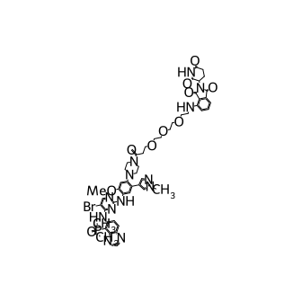 COc1cc(N2CCN(C(=O)CCOCCOCCOCCNc3cccc4c3C(=O)N(C3CCC(=O)NC3=O)C4=O)CC2)c(-c2cnn(C)c2)cc1Nc1ncc(Br)c(Nc2ccc3nccnc3c2P(C)(C)=O)n1